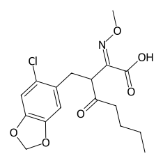 CCCCC(=O)C(Cc1cc2c(cc1Cl)OCO2)C(=NOC)C(=O)O